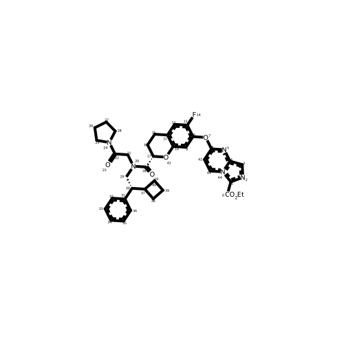 CCOC(=O)c1ncc2nc(Oc3cc4c(cc3F)CC[C@@H](C(=O)N(CC(=O)N3CCCC3)C[C@@H](c3ccccc3)C3CCC3)O4)ccn12